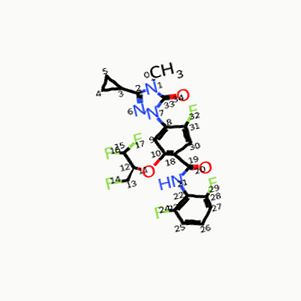 Cn1c(C2CC2)nn(-c2cc(O[C@@H](CF)C(F)F)c(C(=O)Nc3c(F)cccc3F)cc2F)c1=O